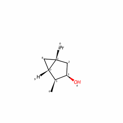 CC(C)[C@@]12C[C@@H](O)[C@@H](C)[C@@H]1C2